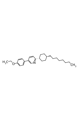 CCCCCCCC[C@H]1CC[C@H](c2ccc(-c3ccc(OCC)cc3)cn2)CC1